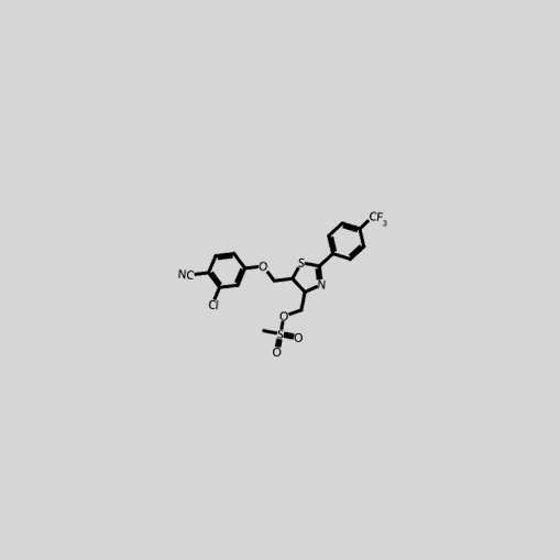 CS(=O)(=O)OCC1N=C(c2ccc(C(F)(F)F)cc2)SC1COc1ccc(C#N)c(Cl)c1